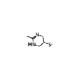 CC1=NCC([S])CN1